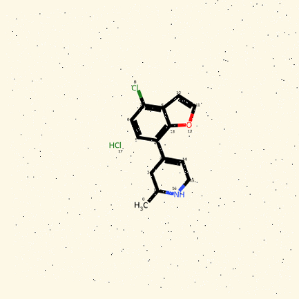 CC1CC(c2ccc(Cl)c3ccoc23)=CCN1.Cl